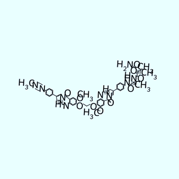 COc1cc2c(cc1OCCCOc1cc3c(cc1OC)C(=O)N1C=C(c4ccc(N5CCN(C)CC5)cc4)C[C@H]1C=N3)N=C[C@@H]1CC(c3ccc(NC(=O)[C@H](C)NC(=O)[C@@H](OC(N)=O)C(C)C)cc3)=CN1C2=O